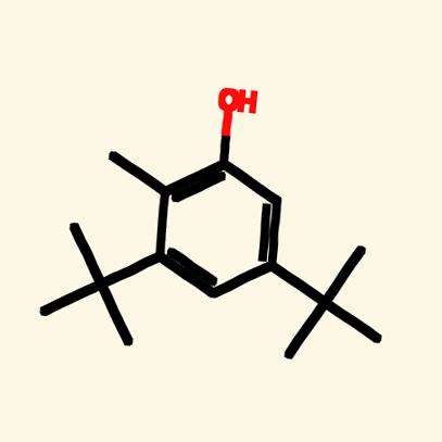 Cc1c(O)cc(C(C)(C)C)cc1C(C)(C)C